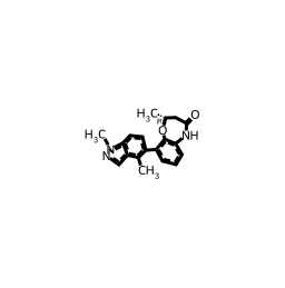 Cc1c(-c2cccc3c2O[C@H](C)CC(=O)N3)ccc2c1cnn2C